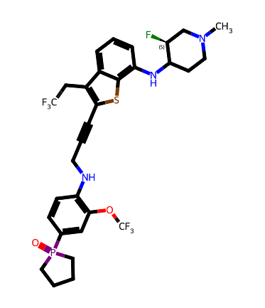 CN1CCC(Nc2cccc3c(CC(F)(F)F)c(C#CCNc4ccc(P5(=O)CCCC5)cc4OC(F)(F)F)sc23)[C@@H](F)C1